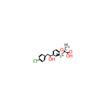 CC(C)(Oc1ccc(C(O)Cc2ccc(Cl)cc2)cc1)C(=O)O